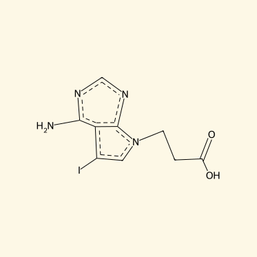 Nc1ncnc2c1c(I)cn2CCC(=O)O